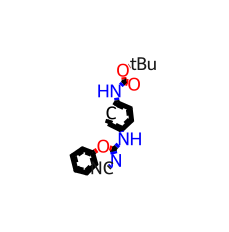 CC(C)(C)OC(=O)Nc1ccc(N/C(=N/C#N)Oc2ccccc2)cc1